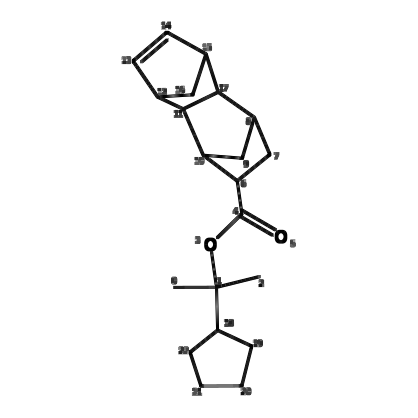 CC(C)(OC(=O)C1CC2CC1C1C3C=CC(C3)C21)C1CCCC1